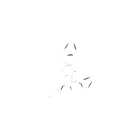 CCOC=CC(=O)N(c1ccccc1)C1CCN(Cc2ccccc2)CC1